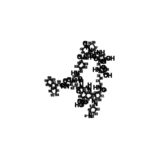 CN(C)c1ccc(/N=N/c2ccc(C(=O)NCCCC[C@H](NC(=O)CNC(=O)[C@H](CC(=O)O)NC(=O)[C@@H]3CCCN4C(=O)CC[C@H](NC(=O)c5ccc(CNC(=O)CNC(=O)[C@H](CCC(=O)NCCNc6cccc7c(S(=O)(=O)O)cccc67)NC(=O)OCC6C7=C(CCC=C7)c7ccccc76)cc5)C(=O)N34)C(=O)O)cc2)cc1